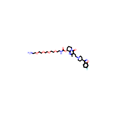 Cc1nc2n(c(=O)c1CCN1CCC(c3noc4cc(F)ccc34)CC1)CCCC2OC(=O)NCCOCCOCCOCCOCCN